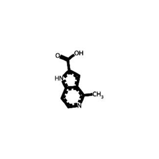 Cc1nccc2[nH]c(C(=O)O)cc12